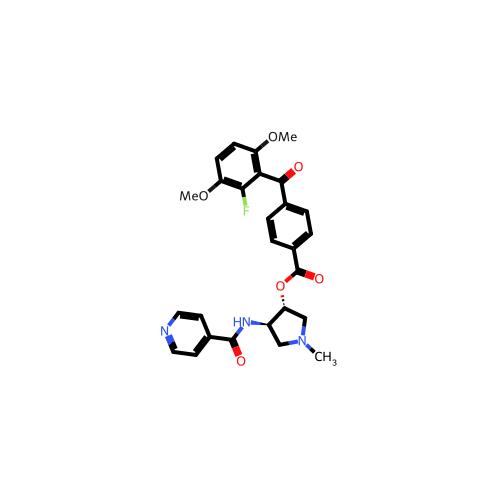 COc1ccc(OC)c(C(=O)c2ccc(C(=O)O[C@@H]3CN(C)C[C@H]3NC(=O)c3ccncc3)cc2)c1F